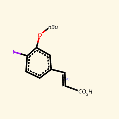 CCCCOc1cc(/C=C/C(=O)O)ccc1I